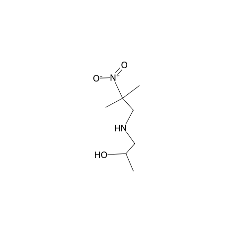 CC(O)CNCC(C)(C)[N+](=O)[O-]